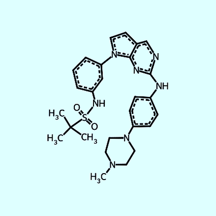 CN1CCN(c2ccc(Nc3ncc4ccn(-c5cccc(NS(=O)(=O)C(C)(C)C)c5)c4n3)cc2)CC1